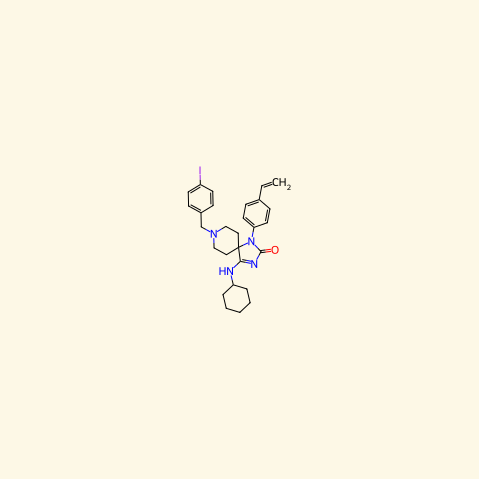 C=Cc1ccc(N2C(=O)N=C(NC3CCCCC3)C23CCN(Cc2ccc(I)cc2)CC3)cc1